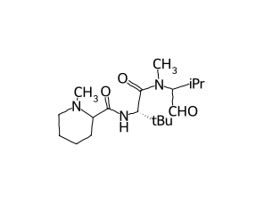 CC(C)C(C=O)N(C)C(=O)[C@@H](NC(=O)C1CCCCN1C)C(C)(C)C